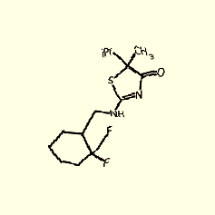 CC(C)C1(C)SC(NCC2CCCCC2(F)F)=NC1=O